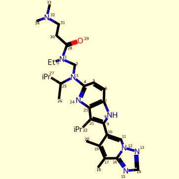 CCN(CN(c1ccc2[nH]c(-c3cn4ncnc4c(C)c3C)c(C(C)C)c2n1)C(C)C(C)C)C(=O)CCN(C)C